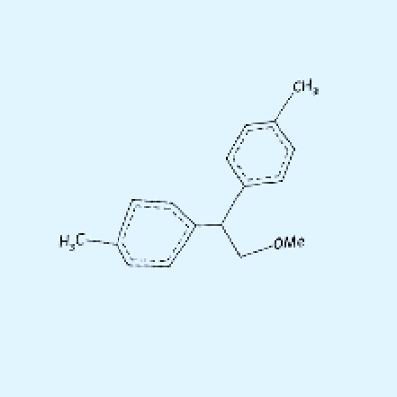 COCC(c1ccc(C)cc1)c1ccc(C)cc1